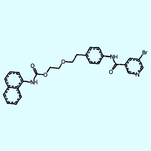 O=C(Nc1cccc2ccccc12)OCCOCCc1ccc(NC(=O)c2cncc(Br)c2)cc1